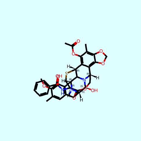 COc1c(C)cc2c(c1O)[C@@H]1C3[C@@H]4SC[C@H](NC(=O)c5ccccc5)C(=O)OC[C@@H](c5c6c(c(C)c(OC(C)=O)c54)OCO6)N3[C@@H](O)[C@H](C2)N1C